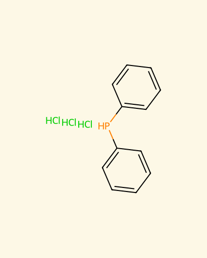 Cl.Cl.Cl.c1ccc(Pc2ccccc2)cc1